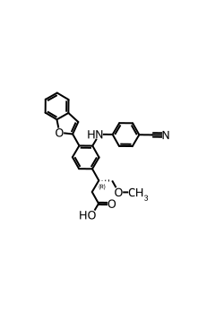 COC[C@H](CC(=O)O)c1ccc(-c2cc3ccccc3o2)c(Nc2ccc(C#N)cc2)c1